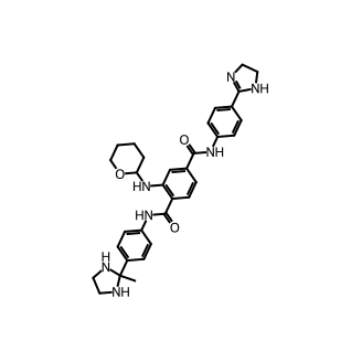 CC1(c2ccc(NC(=O)c3ccc(C(=O)Nc4ccc(C5=NCCN5)cc4)cc3NC3CCCCO3)cc2)NCCN1